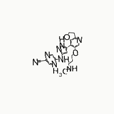 CNCCCOc1cnc2c(c1-c1cc(Nc3cnc(C#N)cn3)n[nH]1)OCC2